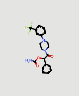 NC(=O)OC(C(=O)N1CCN(c2cccc(C(F)(F)F)c2)CC1)c1ccccc1